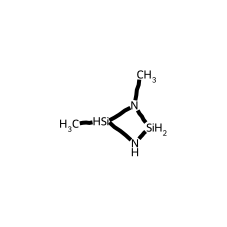 CN1[SiH2]N[SiH]1C